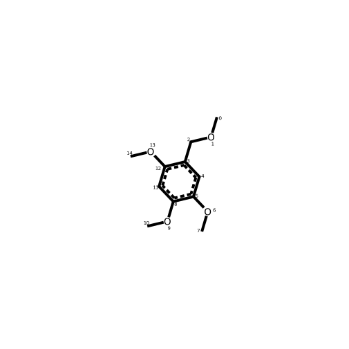 COCc1cc(OC)c(OC)cc1OC